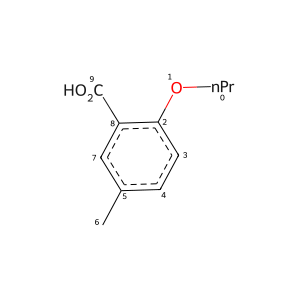 CCCOc1ccc(C)cc1C(=O)O